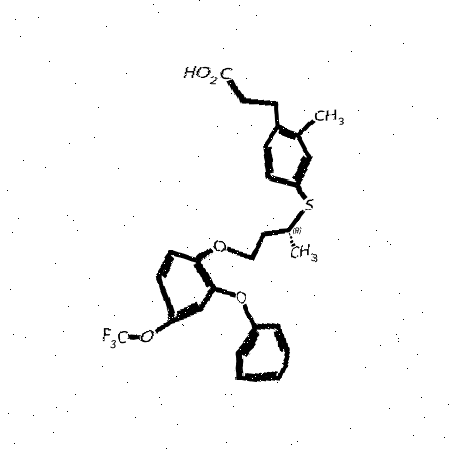 Cc1cc(S[C@H](C)CCOc2ccc(OC(F)(F)F)cc2Oc2ccccc2)ccc1CCC(=O)O